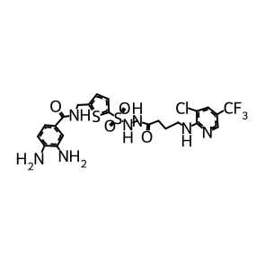 Nc1ccc(C(=O)NCc2ccc(S(=O)(=O)NNC(=O)CCCNc3ncc(C(F)(F)F)cc3Cl)s2)cc1N